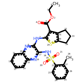 CCOC(=O)c1c(Nc2nc3ccccc3nc2NS(=O)(=O)c2ccccc2C)sc2c1CCC2